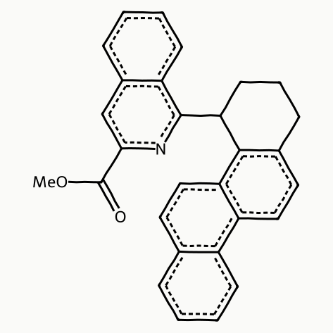 COC(=O)c1cc2ccccc2c(C2CCCc3ccc4c(ccc5ccccc54)c32)n1